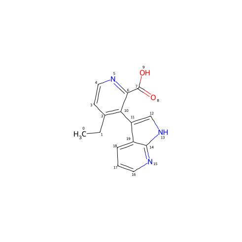 CCc1ccnc(C(=O)O)c1-c1c[nH]c2ncccc12